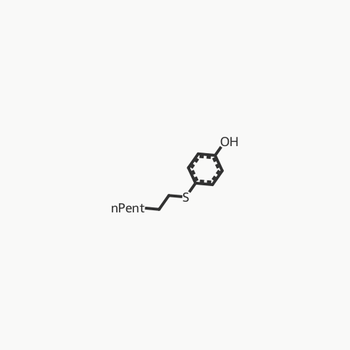 CCCCCCCSc1ccc(O)cc1